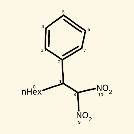 CCCCCCC(c1[c]cccc1)C([N+](=O)[O-])[N+](=O)[O-]